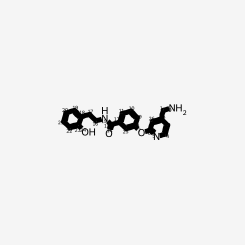 NCc1ccnc(Oc2cccc(C(=O)NCCc3ccccc3O)c2)c1